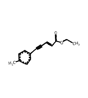 CCOC(=O)C=CC#Cc1ccc(C)cc1